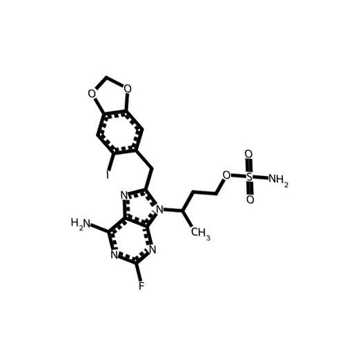 CC(CCOS(N)(=O)=O)n1c(Cc2cc3c(cc2I)OCO3)nc2c(N)nc(F)nc21